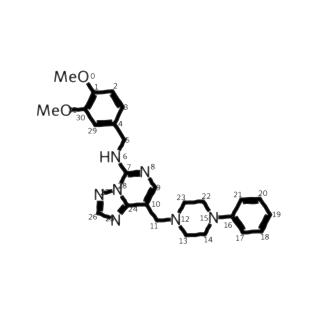 COc1ccc(CNc2ncc(CN3CCN(c4ccccc4)CC3)c3ncnn23)cc1OC